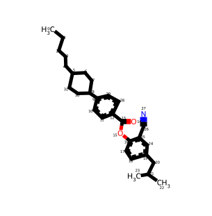 CCCCCC1CCC(c2ccc(C(=O)Oc3ccc(CC(C)C)cc3C#N)cc2)CC1